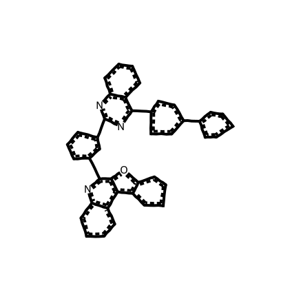 c1ccc(-c2ccc(-c3nc(-c4cccc(-c5nc6ccccc6c6c5oc5ccccc56)c4)nc4ccccc34)cc2)cc1